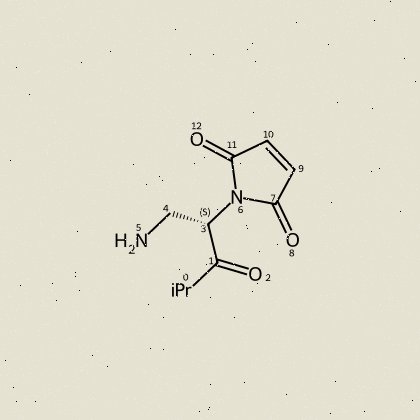 CC(C)C(=O)[C@H](CN)N1C(=O)C=CC1=O